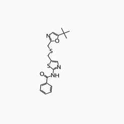 CC(C)(C)c1cnc(CSCc2cnc(NC(=O)c3ccccc3)s2)o1